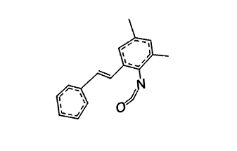 Cc1cc(C)c(N=C=O)c(C=Cc2ccccc2)c1